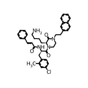 Cc1cc(Cl)ccc1C[C@@H](NC(=O)/C=C/c1ccccc1)C(=O)N1CCN(CCc2ccc3ccccc3c2)C(=O)[C@@H]1CCCCN